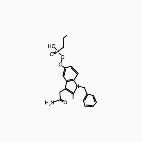 CCCP(=O)(O)OOc1ccc2c(c1)c(CC(N)=O)c(C)n2Cc1ccccc1